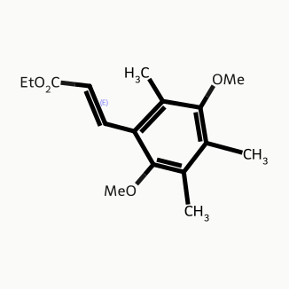 CCOC(=O)/C=C/c1c(C)c(OC)c(C)c(C)c1OC